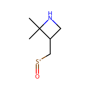 CC1(C)NCC1C[S+]=O